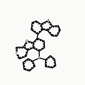 c1ccc(N(c2ccccc2)c2ccc(-c3cccc4sc5ccccc5c34)c3oc4ccccc4c23)cc1